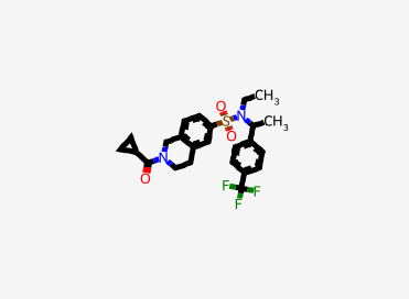 CCN(C(C)c1ccc(C(F)(F)F)cc1)S(=O)(=O)c1ccc2c(c1)CCN(C(=O)C1CC1)C2